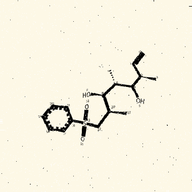 C=C[C@@H](C)C(O)[C@@H](C)[C@H](O)[C@@H](C)CS(=O)(=O)c1ccccc1